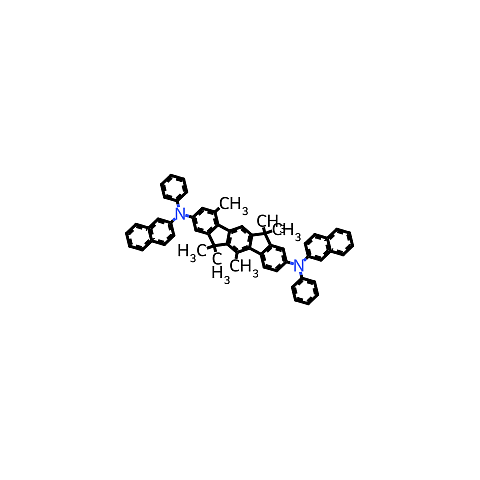 Cc1cc(N(c2ccccc2)c2ccc3ccccc3c2)cc2c1-c1cc3c(c(C)c1C2(C)C)-c1ccc(N(c2ccccc2)c2ccc4ccccc4c2)cc1C3(C)C